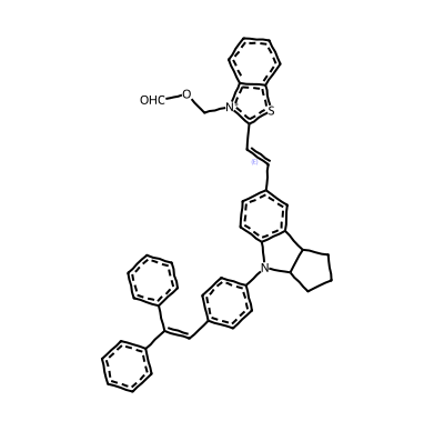 O=COC[n+]1c(/C=C/c2ccc3c(c2)C2CCCC2N3c2ccc(C=C(c3ccccc3)c3ccccc3)cc2)sc2ccccc21